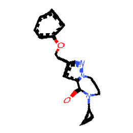 O=C1c2cc(COc3ccccc3)nn2CCN1C1CC1